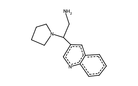 NCC(c1cnc2ccccc2c1)N1CCCC1